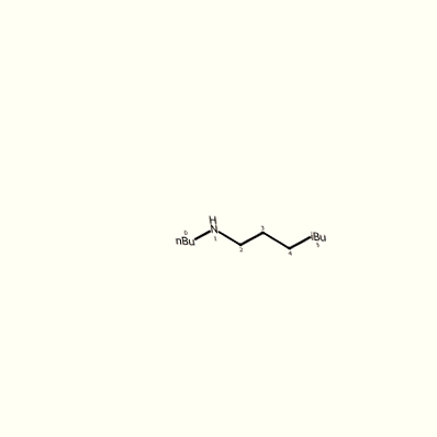 CCCCNCCCC(C)CC